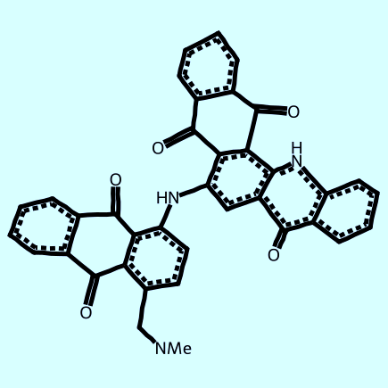 CNCc1ccc(Nc2cc3c(=O)c4ccccc4[nH]c3c3c2C(=O)c2ccccc2C3=O)c2c1C(=O)c1ccccc1C2=O